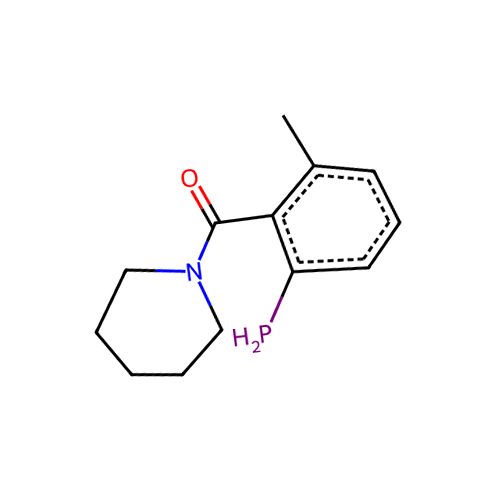 Cc1cccc(P)c1C(=O)N1CCCCC1